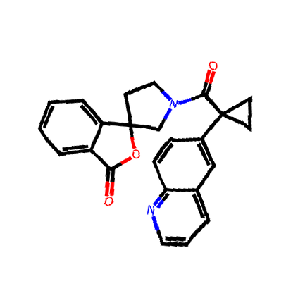 O=C1OC2(CCN(C(=O)C3(c4ccc5ncccc5c4)CC3)C2)c2ccccc21